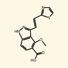 COc1c(C(=O)O)ccc2[nH]nc(C=Cc3nccs3)c12